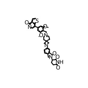 COc1cc(-c2cn(C)c(=O)c3ccsc23)cc(OC)c1CN1CCC2(CC1)CN(c1ccc3c(c1)C(=O)N(C1CCC(=O)NC1=O)C3)C2